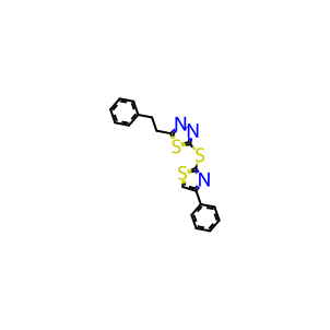 c1ccc(CCc2nnc(Sc3nc(-c4ccccc4)cs3)s2)cc1